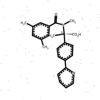 Cc1cc(C)cc(C(=O)N(C)[C@@](C)(C(=O)O)c2ccc(-c3ccccn3)cc2)c1